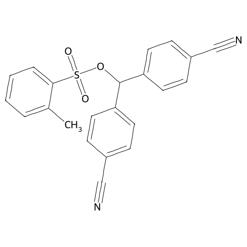 Cc1ccccc1S(=O)(=O)OC(c1ccc(C#N)cc1)c1ccc(C#N)cc1